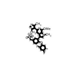 COc1nc(-c2c(C)noc2C)cc2c(-c3cc(CS(C)(=O)=O)ccc3Oc3ccc(F)cc3F)cn(C)c12